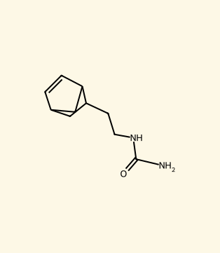 NC(=O)NCCC1CC2C=CC1C2